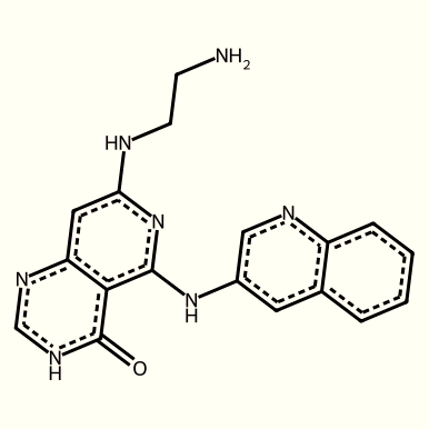 NCCNc1cc2nc[nH]c(=O)c2c(Nc2cnc3ccccc3c2)n1